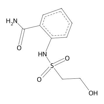 NC(=O)c1ccccc1NS(=O)(=O)CCO